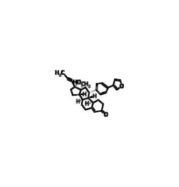 CC#C[C@]1(O)CC[C@H]2[C@@H]3CCC4=CC(=O)CC[C@@H]4[C@H]3[C@@H](c3ccc(-c4ccoc4)cc3)C[C@@]21C